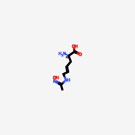 CC(=NO)NCC=CC[C@H](N)C(=O)O